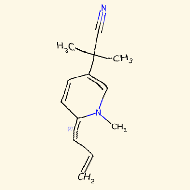 C=C/C=C1/C=CC(C(C)(C)C#N)=CN1C